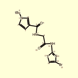 CC(C)(C)n1ccc(C(=O)NCC(=O)Nc2nc(Br)cs2)c1